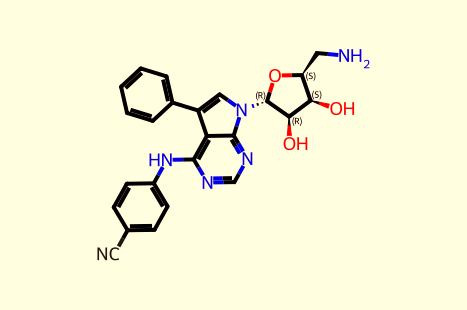 N#Cc1ccc(Nc2ncnc3c2c(-c2ccccc2)cn3[C@@H]2O[C@@H](CN)[C@@H](O)[C@H]2O)cc1